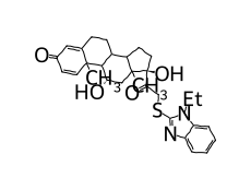 CCn1c(SCC(=O)[C@@]2(O)CCC3C4CCC5=CC(=O)C=CC5(C)C4[C@@H](O)CC32C)nc2ccccc21